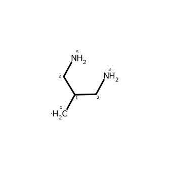 [CH2]C(CN)CN